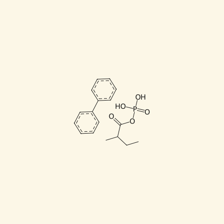 CCC(C)C(=O)OP(=O)(O)O.c1ccc(-c2ccccc2)cc1